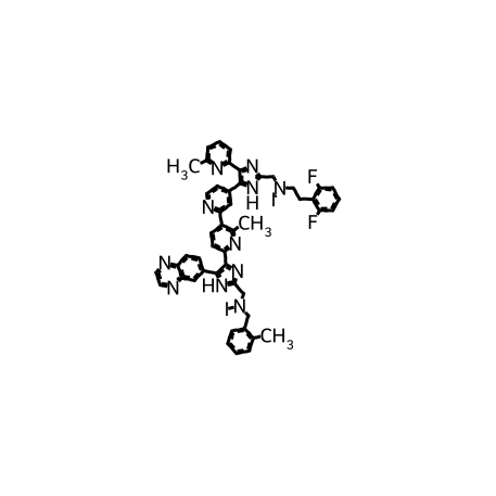 Cc1cccc(-c2nc(CN(I)CCc3c(F)cccc3F)[nH]c2-c2ccnc(-c3ccc(-c4nc(CN(I)Cc5ccccc5C)[nH]c4-c4ccc5nccnc5c4)nc3C)c2)n1